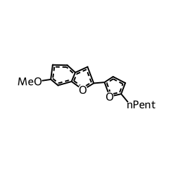 CCCCCc1ccc(-c2cc3ccc(OC)cc3o2)o1